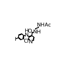 CC(=O)NCCNC(=O)c1ccncc1Nc1ccc(I)cc1Cl